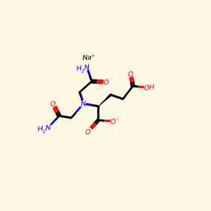 NC(=O)CN(CC(N)=O)[C@@H](CCC(=O)O)C(=O)[O-].[Na+]